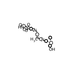 CN(C1CCC(CN2Cc3cc4c(cc3C2)C(=O)N(C2CCC(=O)NC2=O)C4=O)CC1)C1CCN(c2ccc([C@@H]3c4ccc(O)cc4CC[C@@H]3c3ccccc3)cc2)CC1